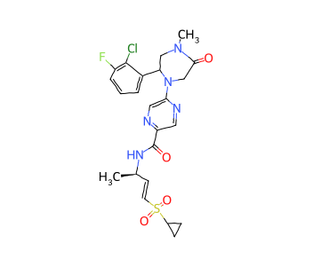 C[C@H](/C=C/S(=O)(=O)C1CC1)NC(=O)c1cnc(N2CC(=O)N(C)CC2c2cccc(F)c2Cl)cn1